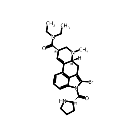 CCN(CC)C(=O)[C@@H]1C=C2c3cccc4c3c(c(Br)n4C(=O)[C@@H]3CCCN3)C[C@H]2N(C)C1